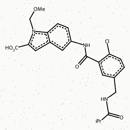 COCn1c(C(=O)O)cc2cc(NC(=O)c3cc(CNC(=O)C(C)C)ccc3Cl)ccc21